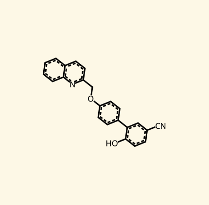 N#Cc1ccc(O)c(-c2ccc(OCc3ccc4ccccc4n3)cc2)c1